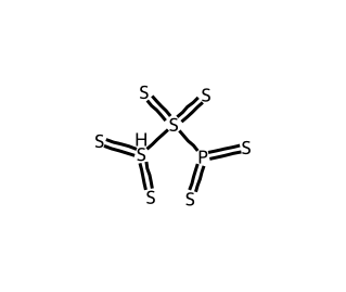 S=P(=S)S(=S)(=S)[SH](=S)=S